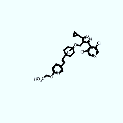 O=C(O)COc1ccc(C=CC23CCC(OCc4c(-c5c(Cl)cncc5Cl)noc4C4CC4)(CC2)CC3)cn1